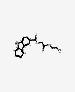 O=C(CNC(=O)c1ccc2[nH]c3ccccc3c2c1)NCCO